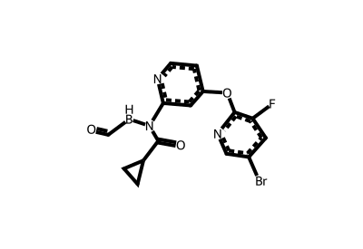 O=CBN(C(=O)C1CC1)c1cc(Oc2ncc(Br)cc2F)ccn1